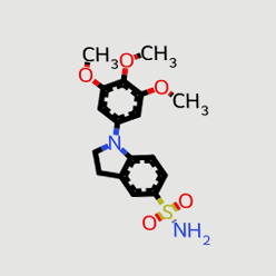 COc1cc(N2CCc3cc(S(N)(=O)=O)ccc32)cc(OC)c1OC